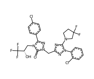 O=c1n(Cc2nc(N3CCC(F)(F)C3)n(-c3ccccc3Cl)n2)nc(-c2ccc(Cl)cc2)n1C[C@H](O)C(F)(F)F